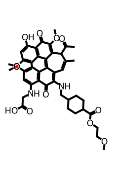 COCCOC(=O)C1CCC(CNc2c3c4c5c(c(OC)c(=O)c6c(O)cc(OC)c(c7c(OC)cc(NCC(=O)O)c(c2=O)c74)c65)C(C(C)=O)C(C)=C3)CC1